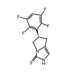 Fc1cc(F)c(F)c([C@H]2Cc3c[nH]c(=S)n3C2)c1F